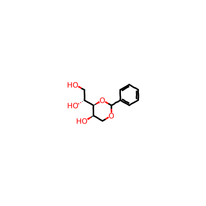 OC[C@@H](O)[C@H]1OC(c2ccccc2)OC[C@H]1O